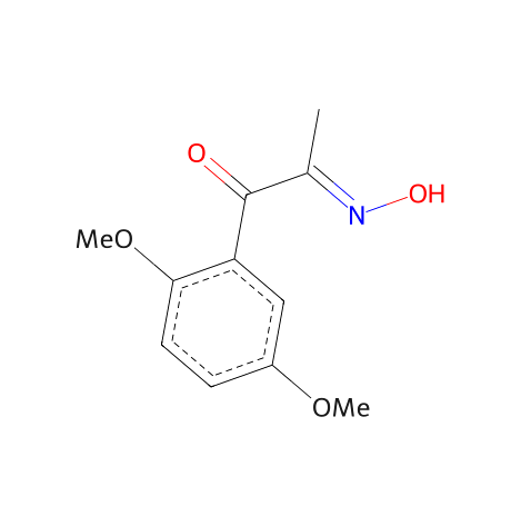 COc1ccc(OC)c(C(=O)C(C)=NO)c1